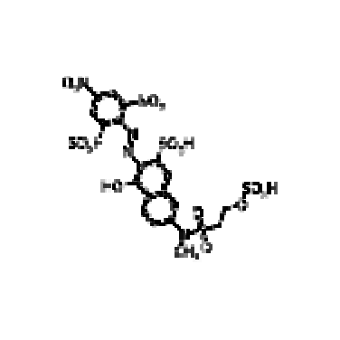 CN(c1ccc2c(O)c(N=Nc3c([N+](=O)[O-])cc([N+](=O)[O-])cc3S(=O)(=O)O)c(S(=O)(=O)O)cc2c1)S(=O)(=O)CCOS(=O)(=O)O